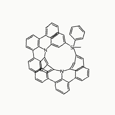 C[Si]1(c2ccccc2)c2cccc(c2)N(c2c(-c3ccccc3)cccc2-c2ccccc2)c2cccc(c2Cl)N(c2c(-c3ccccc3)cccc2-c2ccccc2)c2cccc1c2